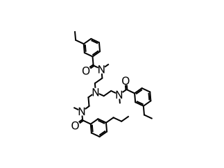 CCCc1cccc(C(=O)N(C)CCN(CCN(C)C(=O)c2cccc(CC)c2)CCN(C)C(=O)c2cccc(CC)c2)c1